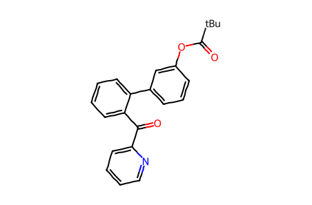 CC(C)(C)C(=O)Oc1cccc(-c2ccccc2C(=O)c2ccccn2)c1